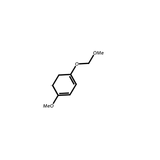 COCOC1=CC=C(OC)[CH]C1